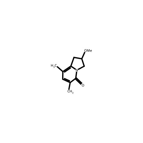 COC1Cc2c(C)cc(C)c(=O)n2C1